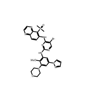 COc1c(Nc2ncc(Br)c(Nc3ccc4nccnc4c3P(C)(C)=O)n2)cc(-n2cccn2)cc1N1CCOCC1